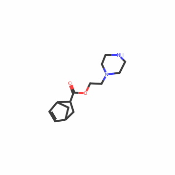 O=C(OCCN1CCNCC1)C1CC2C=CC1C2